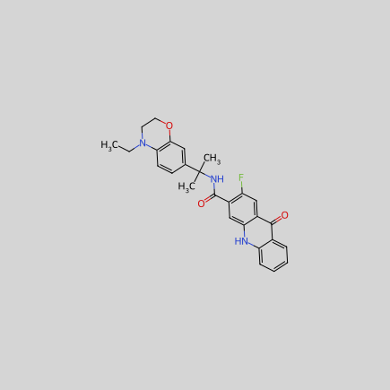 CCN1CCOc2cc(C(C)(C)NC(=O)c3cc4[nH]c5ccccc5c(=O)c4cc3F)ccc21